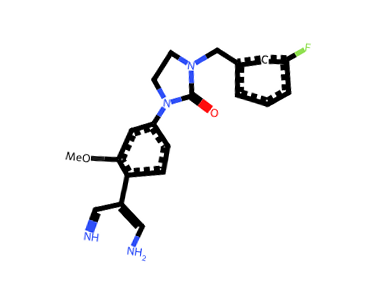 COc1cc(N2CCN(Cc3cccc(F)c3)C2=O)ccc1/C(C=N)=C/N